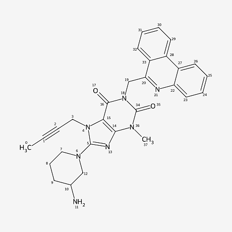 CC#CCn1c(N2CCCC(N)C2)nc2c1c(=O)n(Cc1nc3ccccc3c3ccccc13)c(=O)n2C